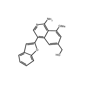 COc1cc(CO)cc2c(-c3cc4ccccc4o3)cnc(N)c12